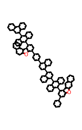 c1ccc(-c2cc(-c3c4ccccc4c(-c4ccc(-c5ccc(-c6ccc(-c7ccc(-c8c9ccccc9c(-c9cc%10ccccc%10c%10ccccc9%10)c9ccccc89)c8c7oc7ccc9ccccc9c78)cc6)c6ccccc56)c5ccccc45)c4ccccc34)c3c(c2)oc2cc4ccccc4cc23)cc1